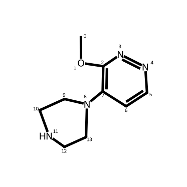 COc1nnccc1N1CCNCC1